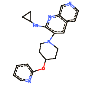 c1ccc(OC2CCN(c3cc4ccncc4nc3NC3CC3)CC2)nc1